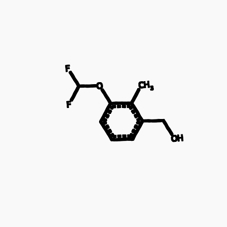 Cc1c(CO)cccc1OC(F)F